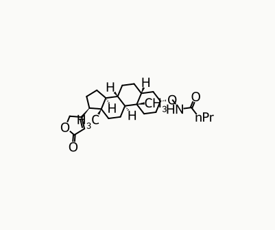 CCCC(=O)NO[C@@H]1CC[C@@]2(C)[C@H](CC[C@@H]3[C@@H]2CC[C@]2(C)[C@@H](C4=CC(=O)OC4)CC[C@@H]32)C1